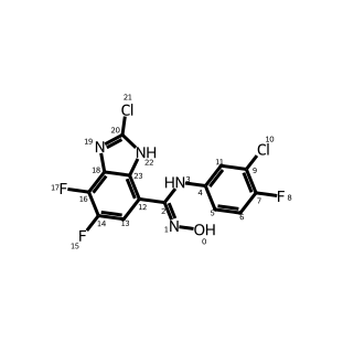 O/N=C(\Nc1ccc(F)c(Cl)c1)c1cc(F)c(F)c2nc(Cl)[nH]c12